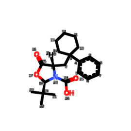 [2H][C@]1(CC2(c3ccccc3)CCCCC2)C(=O)O[C@H](C(C)(C)C)N1C(=O)O